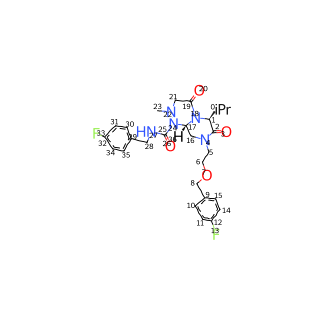 CC(C)[C@H]1C(=O)N(CCOCc2ccc(F)cc2)C[C@H]2N1C(=O)CN(C)N2C(=O)NCc1ccc(F)cc1